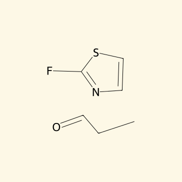 CCC=O.Fc1nccs1